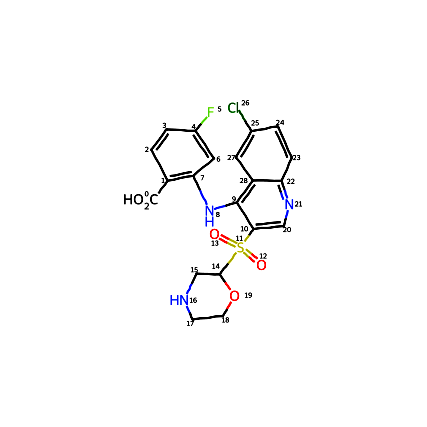 O=C(O)c1ccc(F)cc1Nc1c(S(=O)(=O)C2CNCCO2)cnc2ccc(Cl)cc12